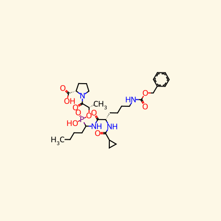 CCCCC(NC(=O)[C@H](CCCCNC(=O)OCc1ccccc1)NC(=O)C1CC1)P(=O)(O)O[C@@H](C)C(=O)N1CCC[C@H]1C(=O)O